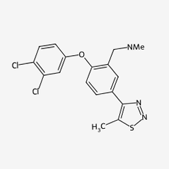 CNCc1cc(-c2nnsc2C)ccc1Oc1ccc(Cl)c(Cl)c1